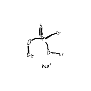 CCOP([O-])(=S)OCC.[Na+]